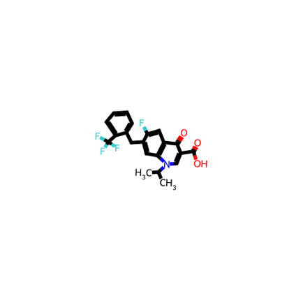 CC(C)n1cc(C(=O)O)c(=O)c2cc(F)c(Cc3ccccc3C(F)(F)F)cc21